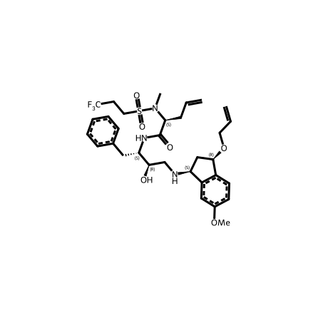 C=CCO[C@@H]1C[C@H](NC[C@@H](O)[C@H](Cc2ccccc2)NC(=O)[C@H](CC=C)N(C)S(=O)(=O)CCC(F)(F)F)c2cc(OC)ccc21